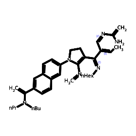 C=NC1=C(C(=N\CCCCCC)/C(/C=N\C(=C)N)=C/C)CCN1c1ccc2cc(C(=C)N(CCC)CCCC)ccc2c1